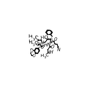 CNCC(=O)NN(C(=O)CCC#N)[C@@H](Cc1ccccc1)[C@H](O)CN(CC(C)C)S(=O)(=O)c1ccc2c(c1)OCCO2